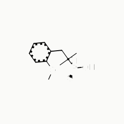 COc1ccccc1CC(C)(C)[PH](=O)O